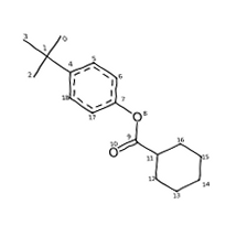 CC(C)(C)c1ccc(OC(=O)C2CCCCC2)cc1